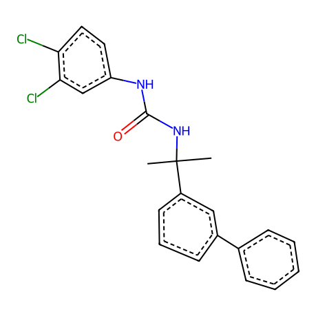 CC(C)(NC(=O)Nc1ccc(Cl)c(Cl)c1)c1cccc(-c2ccccc2)c1